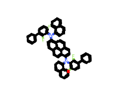 Fc1ccc(-c2ccccc2)c(F)c1N(c1cccc2ccccc12)c1ccc2ccc3c(N(c4c(F)ccc(-c5ccccc5)c4F)c4cccc5ccccc45)ccc4ccc1c2c43